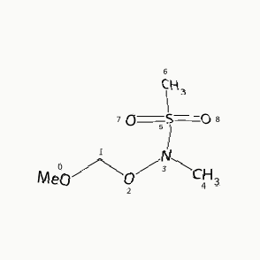 COCON(C)S(C)(=O)=O